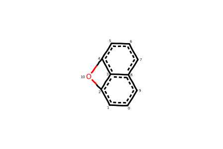 c1cc2c3c(cccc3c1)O2